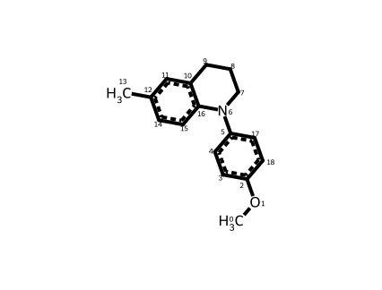 COc1ccc(N2CCCc3cc(C)ccc32)cc1